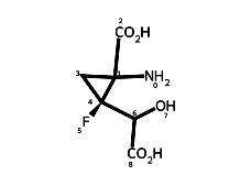 NC1(C(=O)O)C[C@@]1(F)C(O)C(=O)O